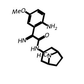 COc1ccc(N)c(C(=N)C(=O)NC2CC3CCC(C2)N3C)c1